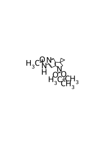 CC(=O)Nc1cc2c(cn1)C1(CC1)CN2C(=O)OC(C)(C)C